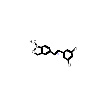 CB1OCc2cc(/C=C/c3cc(Cl)cc(Cl)c3)ccc21